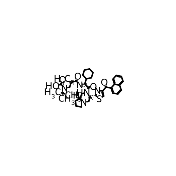 C[C@@H](CN(C(=O)O)C(C)(C)C)C(=O)N[C@H](C(=O)N1C[C@H]2CCCN2C[C@H]1c1nc(C(=O)c2cccc3ccccc23)cs1)C1CCCCC1